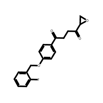 O=C(CCC(=O)C1CO1)c1ccc(OCc2ccccc2F)cc1